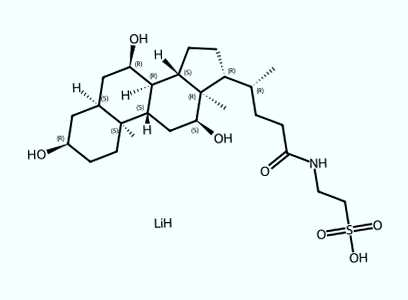 C[C@H](CCC(=O)NCCS(=O)(=O)O)[C@H]1CC[C@H]2[C@@H]3[C@H](O)C[C@@H]4C[C@H](O)CC[C@]4(C)[C@H]3C[C@H](O)[C@]12C.[LiH]